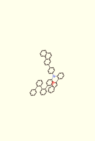 c1ccc(-c2ccccc2-c2ccccc2-c2ccc(N(c3ccc(-c4ccc5c(ccc6ccccc65)c4)cc3)c3ccccc3-c3cc4ccccc4o3)cc2)cc1